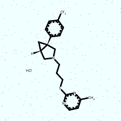 Cc1ccnc(SCCCN2C[C@@H]3C[C@]3(c3ccc(C(F)(F)F)cc3)C2)n1.Cl